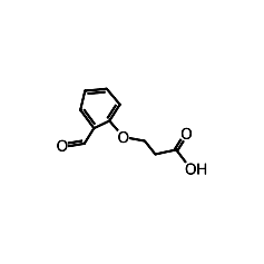 O=Cc1ccccc1OCCC(=O)O